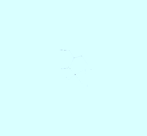 CCC(CC)N(I)C(C)(C)C